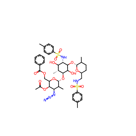 CC(=O)O[C@H]1C(COC(=O)c2ccccc2)O[C@H](O[C@@H]2C(O)C(O[C@H]3OC(CNS(=O)(=O)c4ccc(C)cc4)CCC3C)[C@@H](NS(=O)(=O)c3ccc(C)cc3)C(O)[C@H]2C)C(C)[C@H]1N=[N+]=[N-]